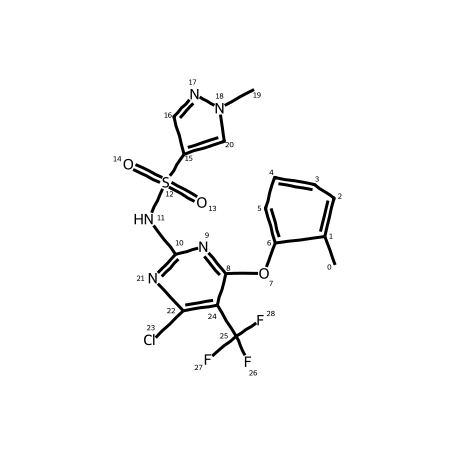 Cc1ccccc1Oc1nc(NS(=O)(=O)c2cnn(C)c2)nc(Cl)c1C(F)(F)F